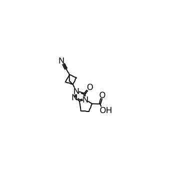 N#CC12CC(n3nc4n(c3=O)C(C(=O)O)CC4)(C1)C2